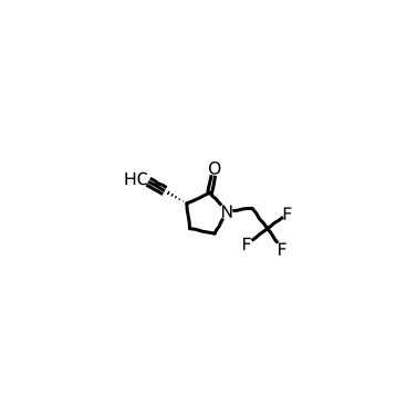 C#C[C@H]1CCN(CC(F)(F)F)C1=O